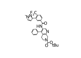 Cn1ccc(-c2cc(C(=O)Nc3cnc4c(c3-c3ccccc3)CCN(C(=O)OC(C)(C)C)C4)ccc2C(F)(F)F)n1